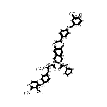 Cc1nccc(Oc2ccc(C[C@H](NC(=O)[C@@H]3Cc4cc5c(cc4CN3C(=O)NC3CCCC3)OC(c3ccc(OCc4ccc(Cl)c(Cl)c4)cc3)CO5)C(=O)O)cc2)c1C